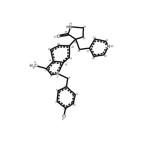 Cc1cn(Cc2ccc(Cl)cc2)c2cc(C3(Cc4ccncc4)CCNC3=O)ccc12